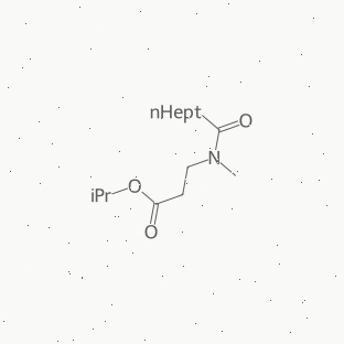 CCCCCCCC(=O)N(C)CCC(=O)OC(C)C